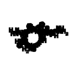 CC(=O)N1C[C@H](C(=O)N[C@H]2CC(=O)NCCCC[C@@H](C(N)=O)NC(=O)[C@H](Cc3c[nH]c4ccccc34)NC(=O)[C@H](CCCNC(=N)N)NC(=O)[C@@H](Cc3ccccc3)NC(=O)[C@H](COCc3ccccc3)NC2=O)NC(=O)[C@@H]1CCCNC(=N)N